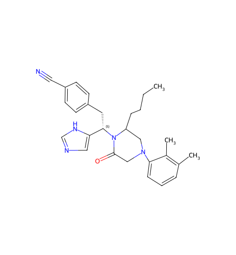 CCCCC1CN(c2cccc(C)c2C)CC(=O)N1[C@@H](Cc1ccc(C#N)cc1)c1cnc[nH]1